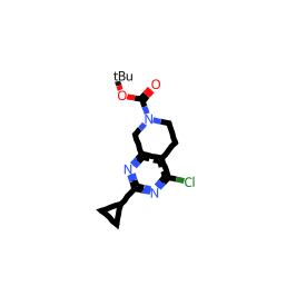 CC(C)(C)OC(=O)N1CCc2c(Cl)nc(C3CC3)nc2C1